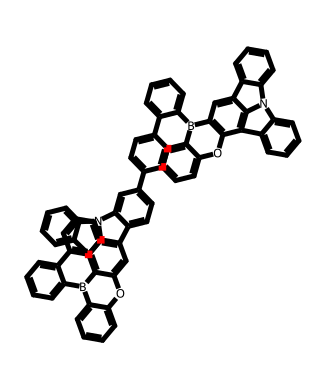 c1ccc(-c2ccccc2B2c3ccccc3Oc3cc4c5ccc(-c6ccc(-c7ccccc7B7c8ccccc8Oc8c7cc7c9ccccc9n9c%10ccccc%10c8c79)cc6)cc5n5c6ccccc6c(c32)c45)cc1